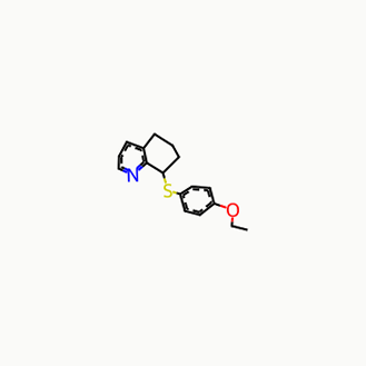 CCOc1ccc(SC2CCCc3cccnc32)cc1